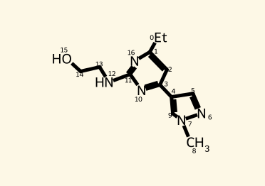 CCc1cc(-c2cnn(C)c2)nc(NCCO)n1